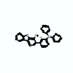 Nc1c(-c2cccc([SiH](c3ccccc3)c3ccccc3)c2)ccc2c1oc1ccccc12